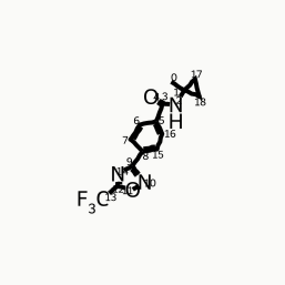 CC1(NC(=O)c2ccc(-c3noc(C(F)(F)F)n3)cc2)CC1